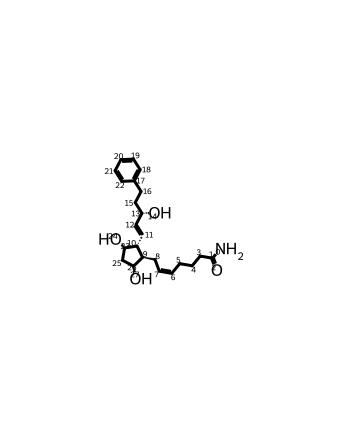 NC(=O)CCC/C=C\C[C@@H]1[C@@H](/C=C/[C@@H](O)CCc2ccccc2)[C@H](O)C[C@@H]1O